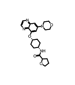 O=C(N[C@H]1CC[C@@H](Oc2cc(N3CCOCC3)cc3nccnc23)CC1)C1CCCO1